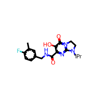 Cc1cc(CNC(=O)c2nc3n(c(=O)c2O)CCN3C(C)C)ccc1F